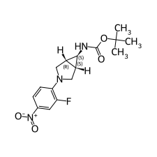 CC(C)(C)OC(=O)N[C@H]1[C@@H]2CN(c3ccc([N+](=O)[O-])cc3F)C[C@@H]21